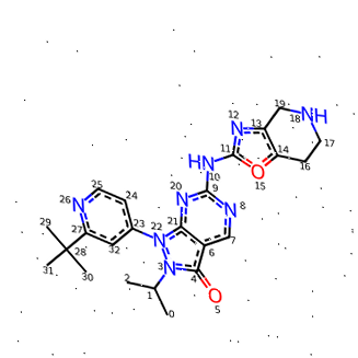 CC(C)n1c(=O)c2cnc(Nc3nc4c(o3)CCNC4)nc2n1-c1ccnc(C(C)(C)C)c1